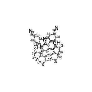 Cc1ccc2ccccc2c1-c1cc(-c2c(C)ccc3ccccc23)c2c3ccc(C#N)cc3n3c4cc(C#N)ccc4c1c23